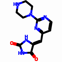 O=C1NC(=O)C(=Cc2ccnc(N3CCNCC3)n2)N1